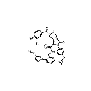 COc1cnn(-c2ccccc2CNC(=O)c2c3n(c(=O)n2-c2ccc(OC4CC4)cc2)CC(C)N(C(=O)c2ccc(Br)c(Cl)c2)C3)c1